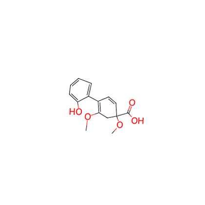 COC1=C(c2ccccc2O)C=CC(OC)(C(=O)O)C1